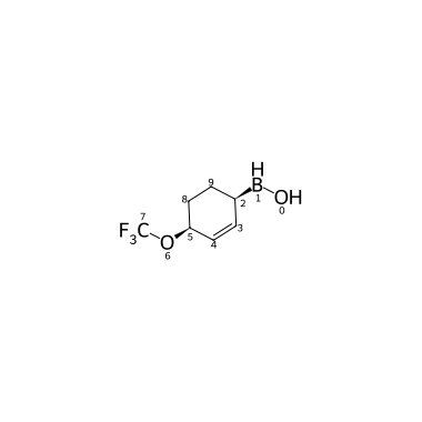 OB[C@H]1C=C[C@@H](OC(F)(F)F)CC1